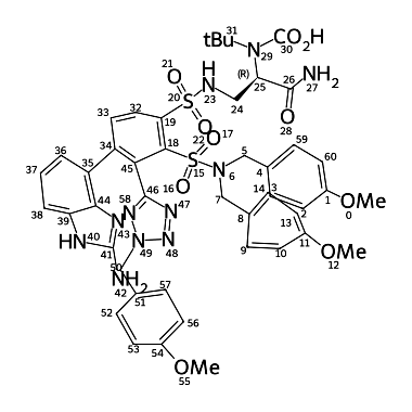 COc1ccc(CN(Cc2ccc(OC)cc2)S(=O)(=O)c2c(S(=O)(=O)NC[C@H](C(N)=O)N(C(=O)O)C(C)(C)C)ccc(-c3cccc4[nH]c(N)nc34)c2-c2nnn(Cc3ccc(OC)cc3)n2)cc1